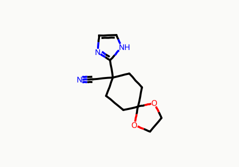 N#CC1(c2ncc[nH]2)CCC2(CC1)OCCO2